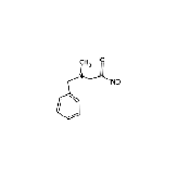 CN(CC(=O)N=O)Cc1ccccc1